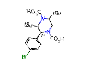 CC(C)(C)C1CN(C(=O)O)[C@@H](c2ccc(Br)cc2)C(C(C)(C)C)N1C(=O)O